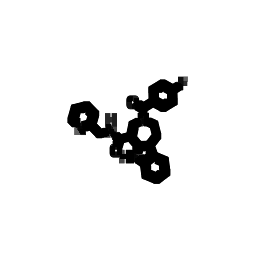 O=C(NCc1ccccn1)C1=CN(C(=O)c2ccc(F)cc2)CCc2c1[nH]c1ccccc21